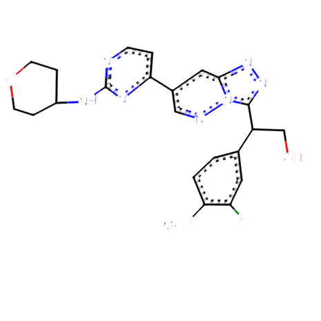 COc1ccc(C(CO)c2nnc3cc(-c4ccnc(NC5CCOCC5)n4)cnn23)cc1F